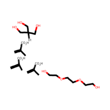 C=C(C)C(=O)O.C=C(C)C(=O)O.C=C(C)C(=O)O.CCC(CO)(CO)CO.OCCOCCOCCO